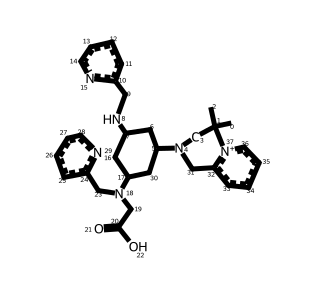 CC1(C)CN(C2CC(NCc3ccccn3)CC(N(CC(=O)O)Cc3ccccn3)C2)Cc2cccc[n+]21